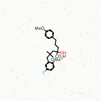 COc1ccc(CCCC(O)(CC(C)(C)Cc2cc(F)ccc2OC)C(=O)O)cc1